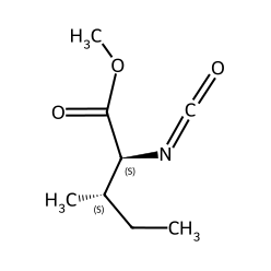 CC[C@H](C)[C@H](N=C=O)C(=O)OC